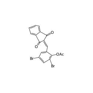 CC(=O)Oc1c(Br)cc(Br)cc1C=C1C(=O)c2ccccc2C1=O